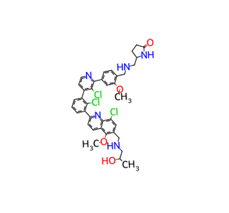 COc1cc(-c2nccc(-c3cccc(-c4ccc5c(OC)c(CNCC(C)O)cc(Cl)c5n4)c3Cl)c2Cl)ccc1CNCC1CCC(=O)N1